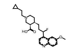 COc1ccc2nccc(C(F)CC[C@@H]3CCN(CCC4CC4)C[C@@H]3C(=O)O)c2c1